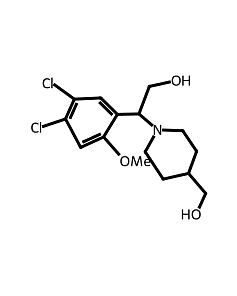 COc1cc(Cl)c(Cl)cc1C(CO)N1CCC(CO)CC1